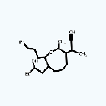 C#CC(C)C1CCCC(CC(O)CC)C(CCCC(C)C)CC1C